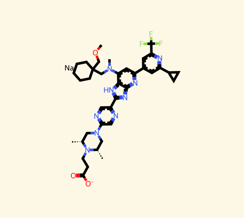 COCC1(CN(C)c2cc(-c3cc(C4CC4)nc(C(F)(F)F)c3)nc3nc(-c4cnc(N5C[C@@H](C)N(CCC(=O)[O-])[C@@H](C)C5)cn4)[nH]c23)CCCCC1.[Na+]